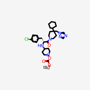 CC(C)(C)OC(=O)ON1CCC(N[C@H](Cc2ccc(Cl)cc2)C(=O)N2CCC(Cn3cncn3)(C3CCCCC3)CC2)CC1